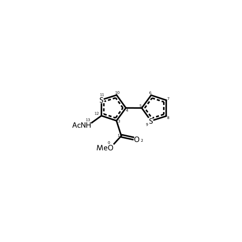 COC(=O)c1c(-c2cccs2)csc1NC(C)=O